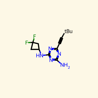 CC(C)(C)C#Cc1nc(N)nc(NC2CC(F)(F)C2)n1